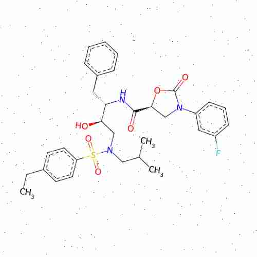 CCc1ccc(S(=O)(=O)N(CC(C)C)C[C@@H](O)[C@H](Cc2ccccc2)NC(=O)[C@@H]2CN(c3cccc(F)c3)C(=O)O2)cc1